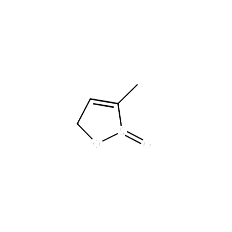 CC1=CCOS1=O